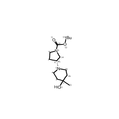 CC1(O)CCN([C@@H]2CCN(C(=O)OC(C)(C)C)C2)CC1